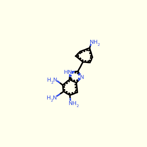 Nc1ccc(-c2nc3cc(N)c(N)c(N)c3[nH]2)cc1